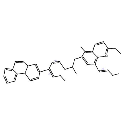 CC/C=N/c1cc(CC(C)C/C=C\C(=C/CC)C2=CC3C=Cc4ccccc4C3C=C2)c(C)c2ccc(CC)nc12